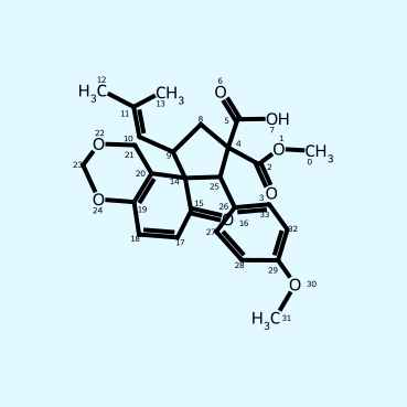 COC(=O)C1(C(=O)O)CC(C=C(C)C)C2(C(=O)C=CC3=C2COCO3)C1c1ccc(OC)cc1